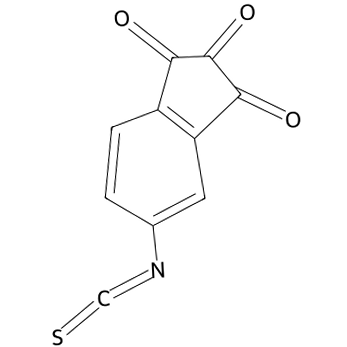 O=c1c(=O)c2ccc(N=C=S)cc2c1=O